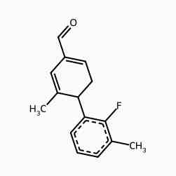 CC1=CC(C=O)=CCC1c1cccc(C)c1F